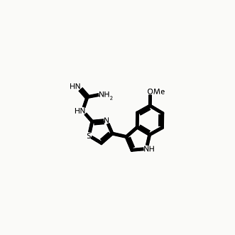 COc1ccc2[nH]cc(-c3csc(NC(=N)N)n3)c2c1